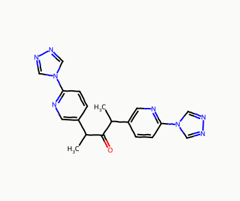 CC(C(=O)C(C)c1ccc(-n2cnnc2)nc1)c1ccc(-n2cnnc2)nc1